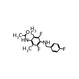 CC(=O)Nc1c(C)c(F)c(NCc2ccc(F)cc2)c(F)c1C